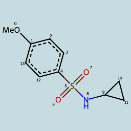 COc1ccc(S(=O)(=O)NC2CC2)cc1